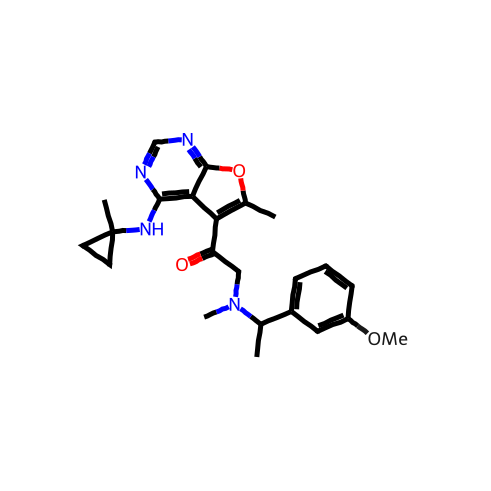 COc1cccc(C(C)N(C)CC(=O)c2c(C)oc3ncnc(NC4(C)CC4)c23)c1